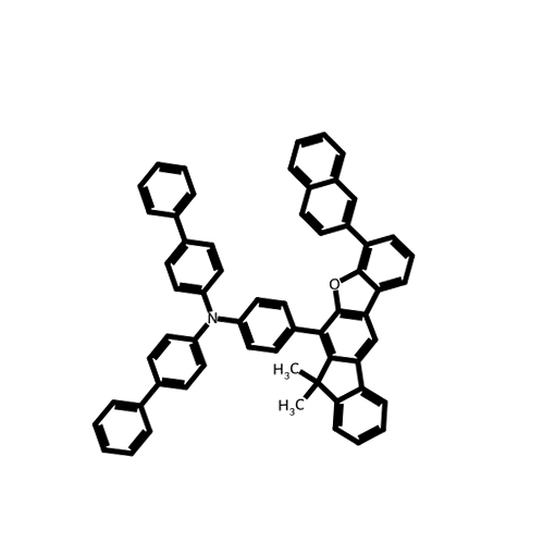 CC1(C)c2ccccc2-c2cc3c(oc4c(-c5ccc6ccccc6c5)cccc43)c(-c3ccc(N(c4ccc(-c5ccccc5)cc4)c4ccc(-c5ccccc5)cc4)cc3)c21